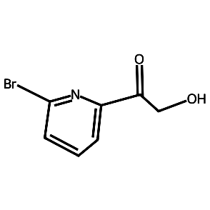 O=C(CO)c1cccc(Br)n1